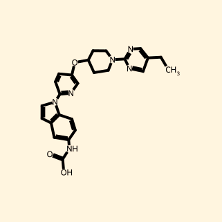 CCc1cnc(N2CCC(Oc3ccc(-n4ccc5cc(NC(=O)O)ccc54)nc3)CC2)nc1